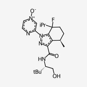 CC(C)C1(F)CC[C@@H](C)c2c(C(=O)N[C@H](CO)C(C)(C)C)nn(-c3c[n+]([O-])ccn3)c21